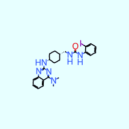 CN(C)c1nc(N[C@H]2CC[C@@H](CNC(=O)Nc3ccccc3I)CC2)nc2ccccc12